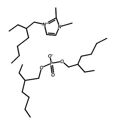 CCCCC(CC)COP(=O)([O-])OCC(CC)CCCC.CCCCC(CC)C[n+]1ccn(C)c1C